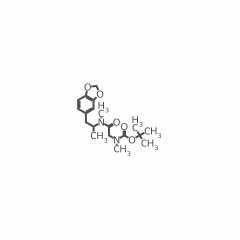 CC(Cc1ccc2c(c1)OCO2)N(C)C(=O)CN(C)C(=O)OC(C)(C)C